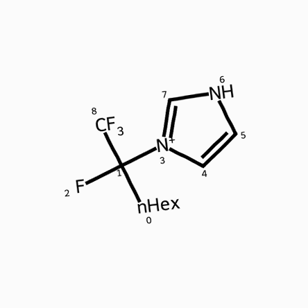 CCCCCCC(F)([n+]1cc[nH]c1)C(F)(F)F